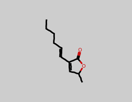 CCCCC=CC1=CC(C)OC1=O